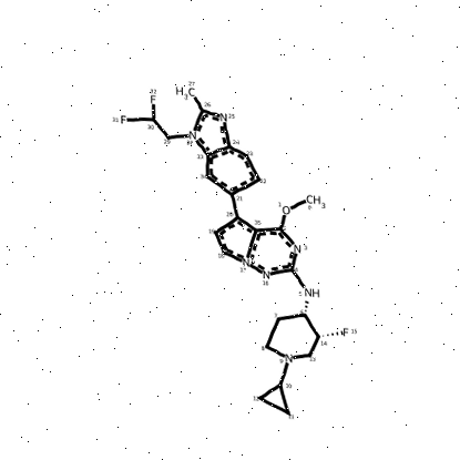 COc1nc(N[C@H]2CCN(C3CC3)C[C@H]2F)nn2ccc(-c3ccc4nc(C)n(CC(F)F)c4c3)c12